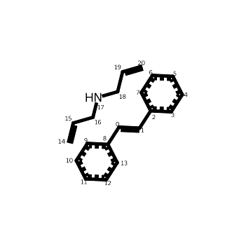 C(=Cc1ccccc1)c1ccccc1.C=CCNCC=C